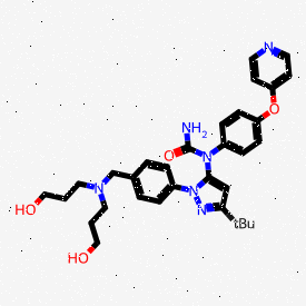 CC(C)(C)c1cc(N(C(N)=O)c2ccc(Oc3ccncc3)cc2)n(-c2ccc(CN(CCCO)CCCO)cc2)n1